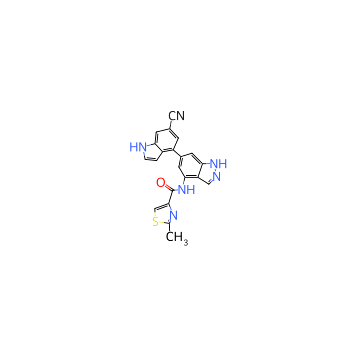 Cc1nc(C(=O)Nc2cc(-c3cc(C#N)cc4[nH]ccc34)cc3[nH]ncc23)cs1